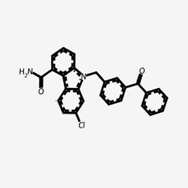 NC(=O)c1cccc2c1c1[c]cc(Cl)cc1n2Cc1cccc(C(=O)c2ccccc2)c1